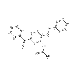 NC(=O)Nc1cc(C(=O)c2ccccn2)ccc1OCc1ccccc1